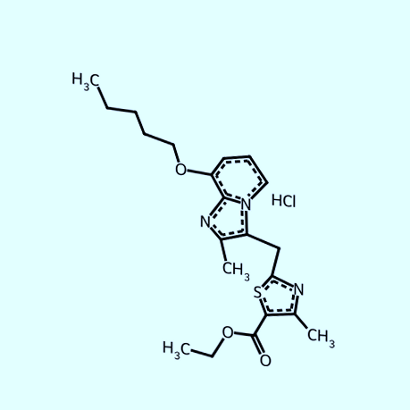 CCCCCOc1cccn2c(Cc3nc(C)c(C(=O)OCC)s3)c(C)nc12.Cl